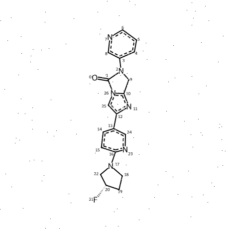 O=C1N(c2cccnc2)Cc2nc(-c3ccc(N4CC[C@H](F)C4)nc3)cn21